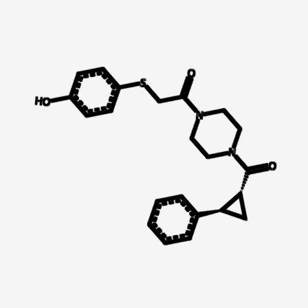 O=C(CSc1ccc(O)cc1)N1CCN(C(=O)[C@@H]2C[C@H]2c2ccccc2)CC1